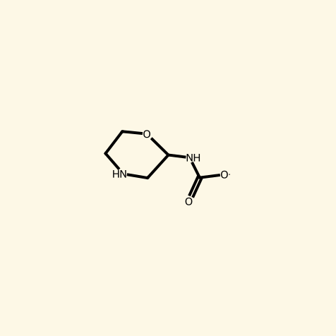 [O]C(=O)NC1CNCCO1